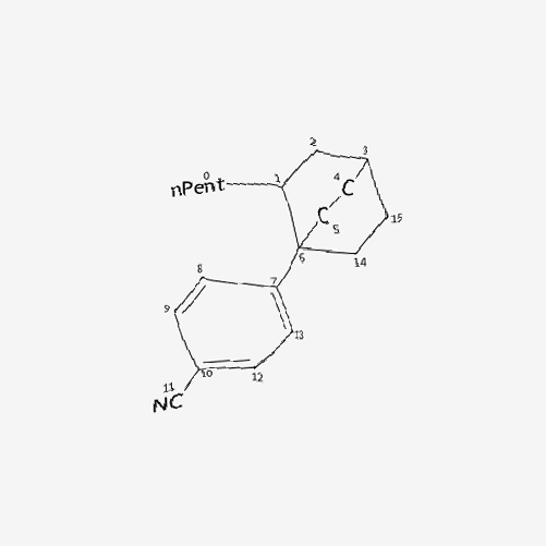 CCCCCC1CC2CCC1(c1ccc(C#N)cc1)CC2